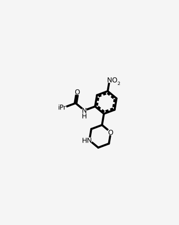 CC(C)C(=O)Nc1cc([N+](=O)[O-])ccc1C1CNCCO1